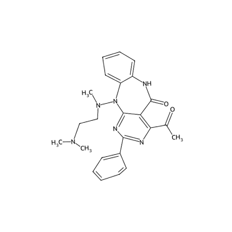 CC(=O)c1nc(-c2ccccc2)nc2c1C(=O)Nc1ccccc1N2N(C)CCN(C)C